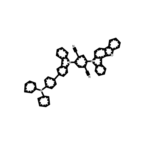 N#Cc1cc(-n2c3ccccc3c3c4oc5ccccc5c4ccc32)c(C#N)cc1-n1c2ccccc2c2cc(-c3ccc(N(c4ccccc4)c4ccccc4)cc3)ccc21